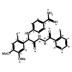 COc1cc(F)c(C(Nc2ccc(C(=N)N)cc2)C(=O)NNC(=O)c2cnccc2C)cc1OC